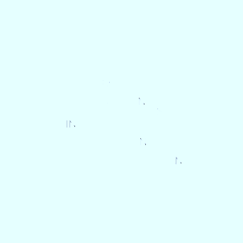 c1cnc(SN2CCOC3(CCNCC3)C2)cn1